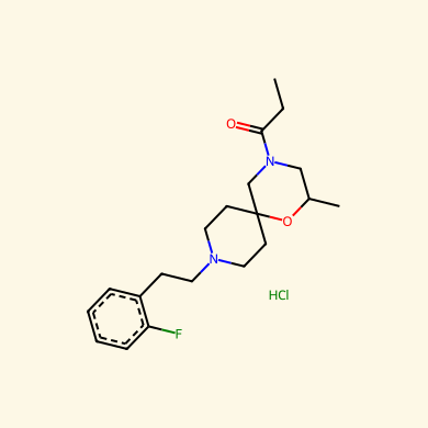 CCC(=O)N1CC(C)OC2(CCN(CCc3ccccc3F)CC2)C1.Cl